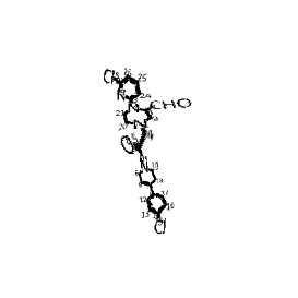 O=CC1CN(CC(=O)N2CC=C(c3ccc(Cl)cc3)CC2)CCN1c1cccc(Cl)n1